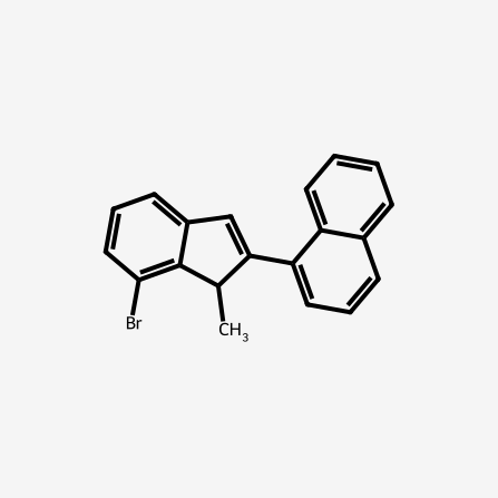 CC1C(c2cccc3ccccc23)=Cc2cccc(Br)c21